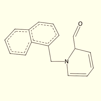 O=CC1C=CC=CN1Cc1cccc2ccccc12